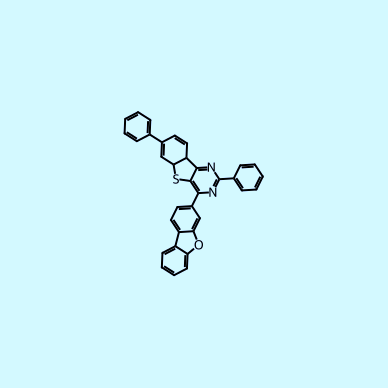 C1=CC2c3nc(-c4ccccc4)nc(-c4ccc5c(c4)oc4ccccc45)c3SC2C=C1c1ccccc1